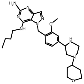 CCCCNc1nc(N)nc2cnn(Cc3ccc(C4CN(C5CCOCC5)CCN4)cc3OC)c12